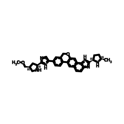 COC[C@@H]1CN[C@H](c2ncc(-c3ccc4c(c3)COc3cc5c(ccc6nc([C@@H]7CC[C@H](C)N7)[nH]c65)cc3-4)[nH]2)C1